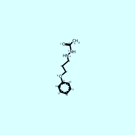 CC(=O)NNCCCOc1ccccc1